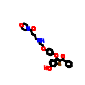 O=C(c1ccccc1)c1sc2cc(O)ccc2c1Oc1ccc(OCCNC/C=C/C(=O)N2CCOCC2)cc1